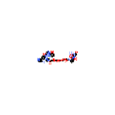 COc1cccc(F)c1-c1nccc(C(=O)Nc2ccc(-c3cnccc3C#N)cc2N2CCN(C(=O)CCOCCOCCOCCOCCNc3cccc4c3C(=O)N(C3CCC(=O)NC3=O)C4=O)CC2)n1